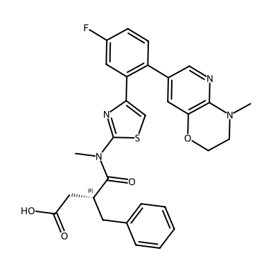 CN1CCOc2cc(-c3ccc(F)cc3-c3csc(N(C)C(=O)[C@@H](CC(=O)O)Cc4ccccc4)n3)cnc21